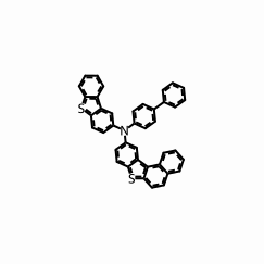 c1ccc(-c2ccc(N(c3ccc4sc5ccccc5c4c3)c3ccc4sc5ccc6ccccc6c5c4c3)cc2)cc1